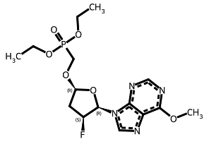 CCOP(=O)(CO[C@@H]1C[C@H](F)[C@H](n2cnc3c(OC)ncnc32)O1)OCC